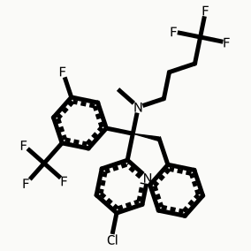 CN(CCCC(F)(F)F)[C@@](Cc1ccccc1)(c1cc(F)cc(C(F)(F)F)c1)c1ccc(Cl)cn1